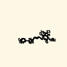 CCCCn1c(=O)n(CCCCc2noc(-c3ccc(=O)[nH]c3)n2)c(=O)c2[nH]c(Cl)nc21